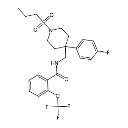 CCCS(=O)(=O)N1CCC(CNC(=O)c2ccccc2OC(F)(F)F)(c2ccc(F)cc2)CC1